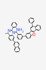 CC(/N=C(\N=C(/N)c1cccc(-c2ccc3oc4c5ccccc5c(-c5ccccc5)cc4c3c2)c1)c1ccccc1)c1ccc(-c2ccc3ccccc3c2)cc1